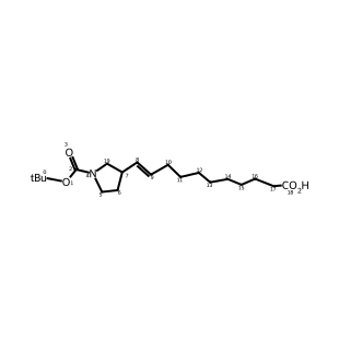 CC(C)(C)OC(=O)N1CCC(C=CCCCCCCCCC(=O)O)C1